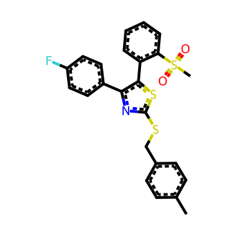 Cc1ccc(CSc2nc(-c3ccc(F)cc3)c(-c3ccccc3S(C)(=O)=O)s2)cc1